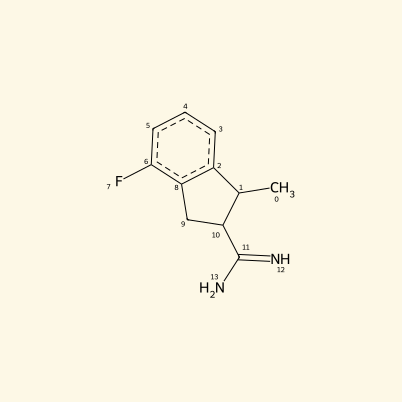 CC1c2cccc(F)c2CC1C(=N)N